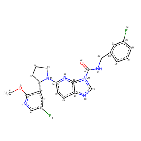 COc1ncc(F)cc1C1CCCN1c1ccc2ncn(C(=O)NCc3cccc(F)c3)c2n1